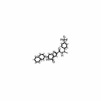 CC(NC(=O)c1cc2c(=O)[nH]c(-c3ccc4ccccc4c3)cn2n1)c1ccc(C(F)(F)F)cc1